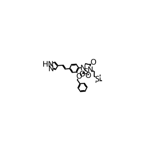 C[Si](C)(C)CCN1C(=O)CN(c2ccc(/C=C/c3cn[nH]c3)cc2OCc2ccccc2)S1(=O)=O